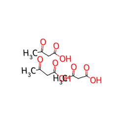 CC(=O)CC(=O)O.CC(=O)CC(=O)O.CC(=O)CC(=O)O